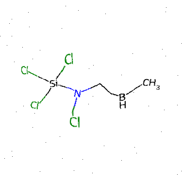 CBCN(Cl)[Si](Cl)(Cl)Cl